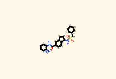 Nc1ccccc1NC(=O)c1ccc2c(c1)CCC2NS(=O)(=O)Cc1ccccc1